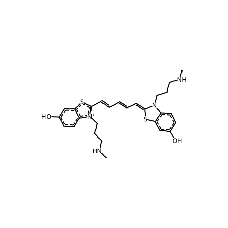 CNCCCN1/C(=C/C=C/C=C/c2sc3cc(O)ccc3[n+]2CCCNC)Sc2cc(O)ccc21